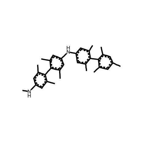 CNc1cc(C)c(-c2c(C)cc(Nc3cc(C)c(-c4c(C)cc(C)cc4C)c(C)c3)cc2C)c(C)c1